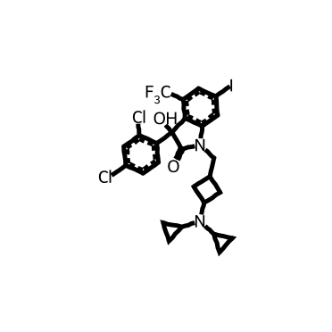 O=C1N(CC2CC(N(C3CC3)C3CC3)C2)c2cc(I)cc(C(F)(F)F)c2C1(O)c1ccc(Cl)cc1Cl